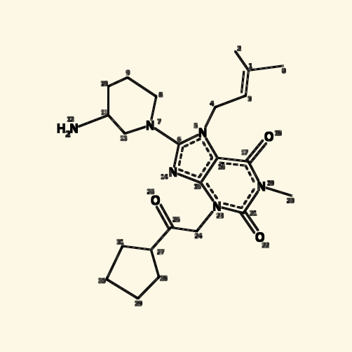 CC(C)=CCn1c(N2CCCC(N)C2)nc2c1c(=O)n(C)c(=O)n2CC(=O)C1CCCC1